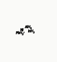 [AlH3].[InH3].[Ni].[PbH2]